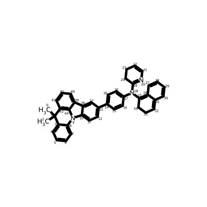 CC1(C)c2ccccc2-n2c3ccc(-c4ccc(N(C5=NC=CCC5)C5=c6ccccc6=CCC5)cc4)cc3c3cccc1c32